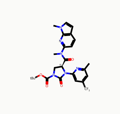 Cc1cc(C(F)(F)F)cc(N2C(=O)N(C(=O)OC(C)(C)C)C[C@H]2C(=O)N(C)c2ccc3ccn(C)c3n2)n1